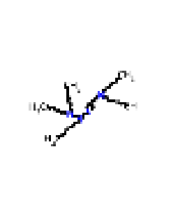 CCCCCCCCCN(CCCCCCCCC)CCCC1CCN(CCCN(CCCCCCCCC)CCN(CCCCCCCCC)CCCCCCCCC)CC1